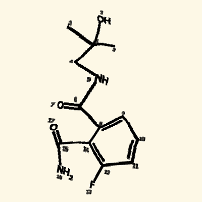 CC(C)(O)CNC(=O)c1cccc(F)c1C(N)=O